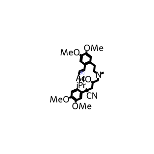 COc1ccc(C(C#N)(CC(O)CN(C)CCc2cc(OC)c(OC)cc2/C=C/C(C)=O)C(C)C)cc1OC